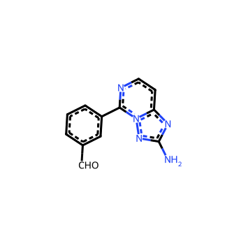 Nc1nc2ccnc(-c3cccc(C=O)c3)n2n1